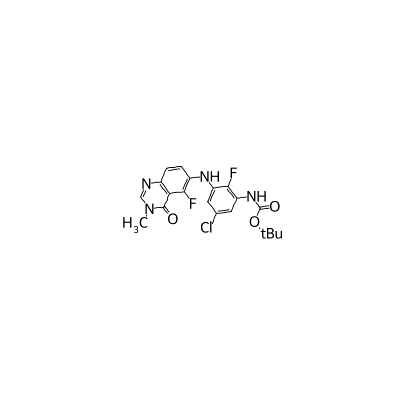 Cn1cnc2ccc(Nc3cc(Cl)cc(NC(=O)OC(C)(C)C)c3F)c(F)c2c1=O